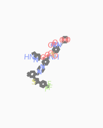 CC1(C)CCC(CN2CCN(c3ccc(C(=O)NS(=O)(=O)c4ccc(NC[C@H]5COCCO5)c([N+](=O)[O-])c4)c(Oc4cnc5[nH]ccc5c4)c3)CC2)=C(c2cc(-c3ccc(C(F)(F)F)cc3)cs2)C1